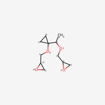 CC(OCC1CO1)C1(OCC2CO2)CC1